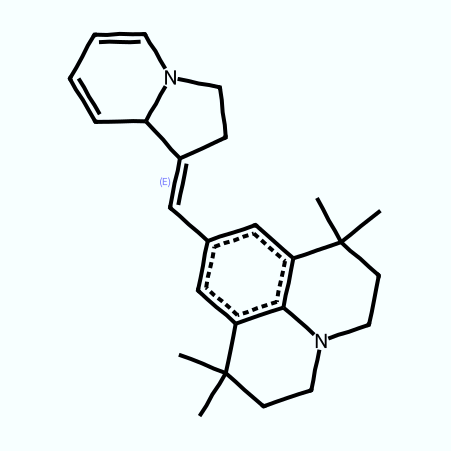 CC1(C)CCN2CCC(C)(C)c3cc(/C=C4\CCN5C=CC=CC45)cc1c32